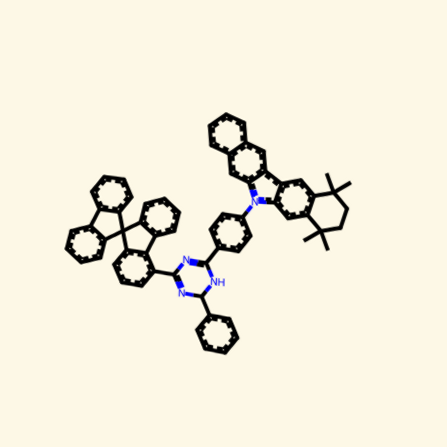 CC1(C)CCC(C)(C)c2cc3c(cc21)c1cc2ccccc2cc1n3-c1ccc(C2=NC(c3cccc4c3-c3ccccc3C43c4ccccc4-c4ccccc43)=NC(c3ccccc3)N2)cc1